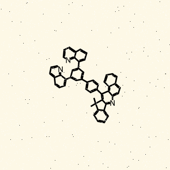 CC1(C)c2ccccc2-c2nc3ccc4ccccc4c3c(-c3ccc(-c4cc(-c5cccc6cccnc56)cc(-c5cccc6cccnc56)c4)cc3)c21